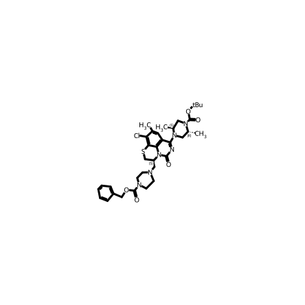 Cc1cc2c(N3C[C@@H](C)N(C(=O)OC(C)(C)C)C[C@@H]3C)nc(=O)n3c2c(c1Cl)SC[C@@H]3CN1CCN(C(=O)OCc2ccccc2)CC1